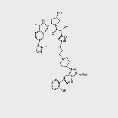 CNc1nn(C2CCN(CCOc3cc([C@H](C(=O)N4C[C@H](O)C[C@H]4C(=O)N[C@@H](C)c4ccc(-c5scnc5C)cc4)C(C)C)on3)CC2)c2cc(-c3ccccc3O)nnc12